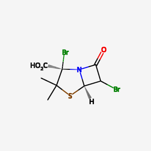 CC1(C)S[C@@H]2C(Br)C(=O)N2[C@@]1(Br)C(=O)O